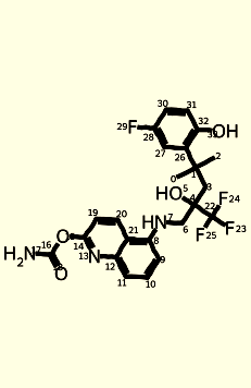 CC(C)(CC(O)(CNc1cccc2nc(OC(N)=O)ccc12)C(F)(F)F)c1cc(F)ccc1O